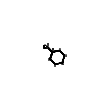 [Cr][CH]1CCCCC1